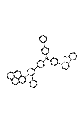 C1=CC(c2ccc(N(c3ccc(C4=CCC(c5ccc6ccc7cccc8ccc5c6c78)C(c5ccccc5)=C4)cc3)c3ccc(-c4ccccc4)cc3)cc2)C2Oc3ccccc3C2=C1